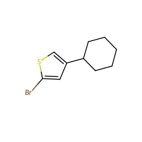 Brc1cc(C2CCCCC2)cs1